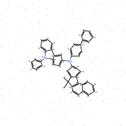 CC1(C)c2cc(N(c3ccc(-c4ccccc4)cc3)c3ccc4c(c3)c3ccccc3n4-c3ccccc3)ccc2-c2c1ccc1ccccc21